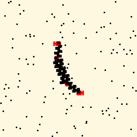 Cc1cc(-c2ccc(-c3ccc(OCCCCCO)cc3)cc2)ccc1OCCCCCO